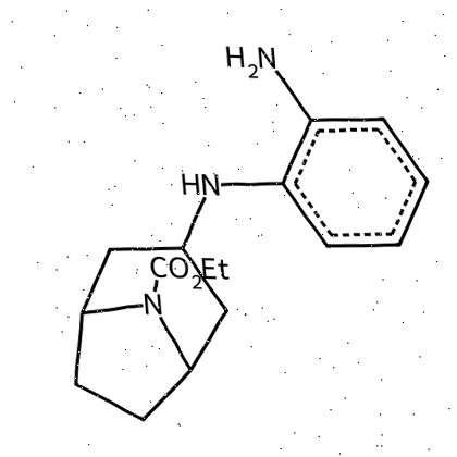 CCOC(=O)N1C2CCC1CC(Nc1ccccc1N)C2